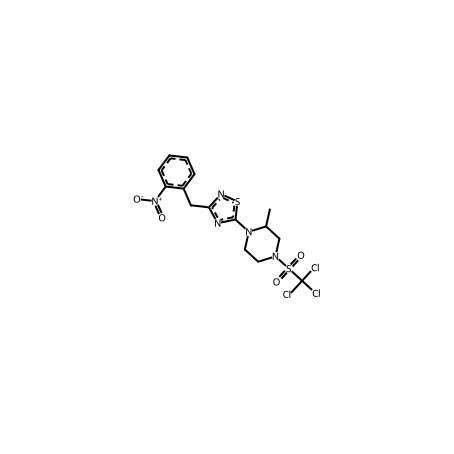 CC1CN(S(=O)(=O)C(Cl)(Cl)Cl)CCN1c1nc(Cc2ccccc2[N+](=O)[O-])ns1